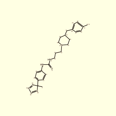 CC1(c2ccc(NC(=O)NCCCN3CCC(Cc4ccc(F)cc4)CC3)cc2)N=NN=N1